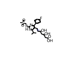 CC(C)c1nc(NCS(C)(=O)=O)nc(-c2ccc(F)cc2)c1/C=C/[C@@H](O)C[C@@H](O)CC(=O)O